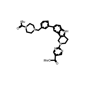 COC(=O)c1cnc(N2CCc3[nH]c4ccc(-c5cccc(CN6CCN(C(=O)C(C)(C)C)CC6)c5)cc4c3C2)nc1